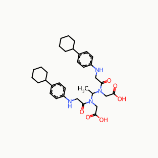 CC(N(CC(=O)O)C(=O)CNc1ccc(C2CCCCC2)cc1)N(CC(=O)O)C(=O)CNc1ccc(C2CCCCC2)cc1